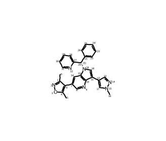 Cc1noc(C)c1-c1cnc2c(-c3cnn(C)c3)cn([C@@H](c3ccccc3)c3ccccn3)c2c1